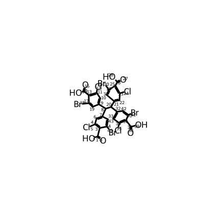 O=C(O)c1c(Cl)cc(C(c2cc(Cl)c(C(=O)O)c(Br)c2)C(c2cc(Cl)c(C(=O)O)c(Br)c2)c2cc(Cl)c(C(=O)O)c(Br)c2)cc1Br